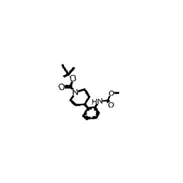 COC(=O)Nc1ccccc1C1CCN(C(=O)OC(C)(C)C)CC1